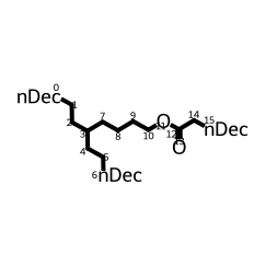 CCCCCCCCCCCCC(CCCCCCCCCCCC)CCCCOC(=O)CCCCCCCCCCC